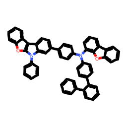 c1ccc(-c2ccccc2-c2ccc(N(c3ccc(-c4ccc5c6c7ccccc7oc6n(-c6ccccc6)c5c4)cc3)c3cccc4c3oc3ccccc34)cc2)cc1